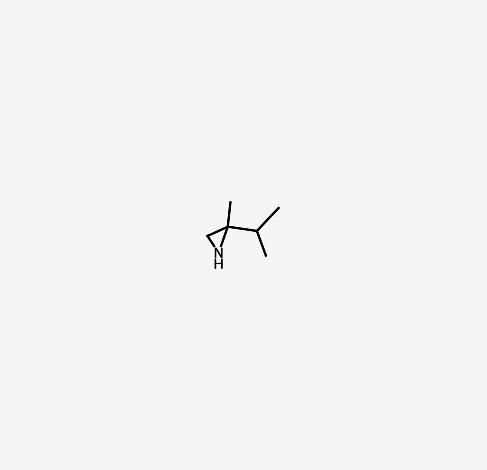 CC(C)C1(C)CN1